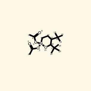 CC(=O)O[Si]1(OC(C)=O)CCC(C(C)(C)C)C(C(C)(C)C)O1